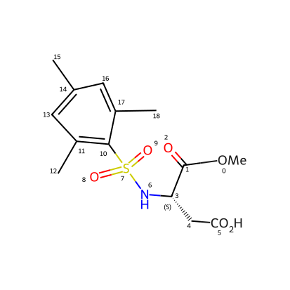 COC(=O)[C@H](CC(=O)O)NS(=O)(=O)c1c(C)cc(C)cc1C